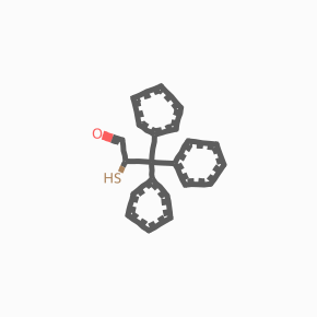 O=CC(S)C(c1ccccc1)(c1ccccc1)c1ccccc1